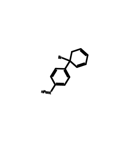 CCCCCc1ccc(C2(Br)C=CC=CC2)cc1